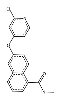 CNC(=O)c1cccc2cc(Oc3ccnc(Cl)c3)ccc12